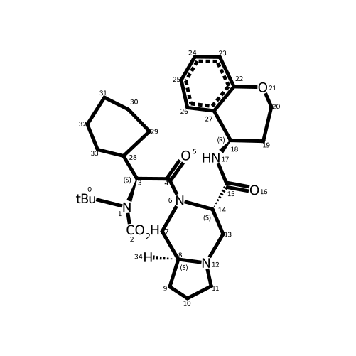 CC(C)(C)N(C(=O)O)[C@H](C(=O)N1C[C@@H]2CCCN2C[C@H]1C(=O)N[C@@H]1CCOc2ccccc21)C1CCCCC1